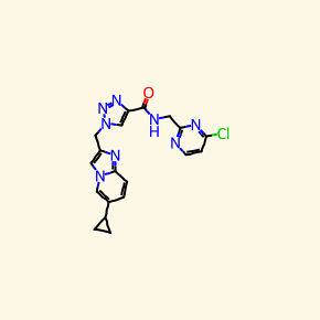 O=C(NCc1nccc(Cl)n1)c1cn(Cc2cn3cc(C4CC4)ccc3n2)nn1